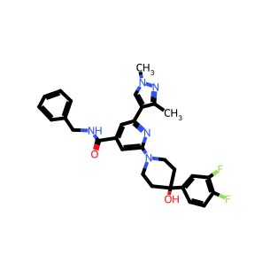 Cc1nn(C)cc1-c1cc(C(=O)NCc2ccccc2)cc(N2CCC(O)(c3ccc(F)c(F)c3)CC2)n1